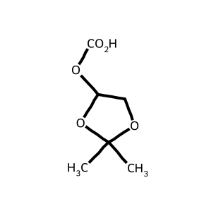 CC1(C)OCC(OC(=O)O)O1